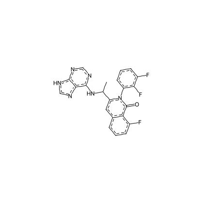 CC(Nc1ncnc2[nH]cnc12)c1cc2cccc(F)c2c(=O)n1-c1cccc(F)c1F